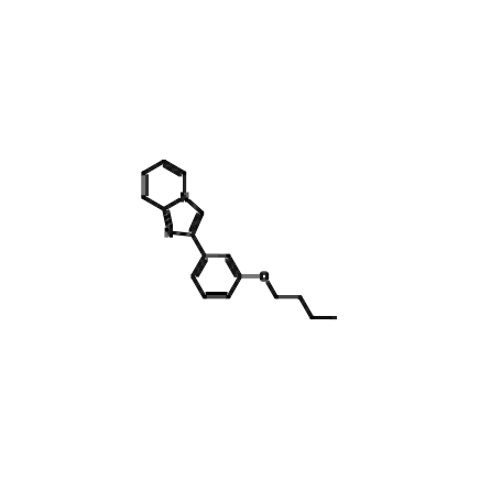 CCCCOc1cccc(-c2cn3ccccc3n2)c1